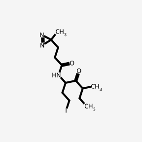 CCC(C)C(=O)C(CCI)NC(=O)CCC1(C)N=N1